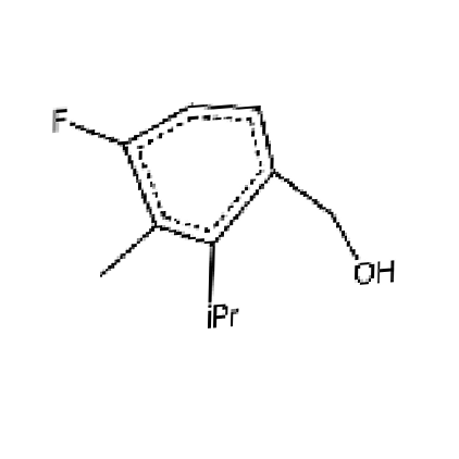 Cc1c(F)ccc(CO)c1C(C)C